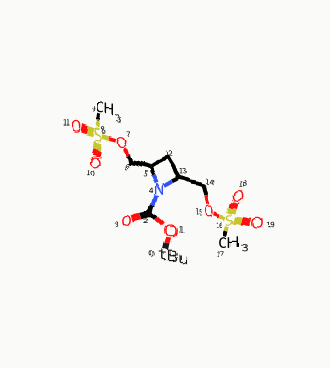 CC(C)(C)OC(=O)N1C(COS(C)(=O)=O)CC1COS(C)(=O)=O